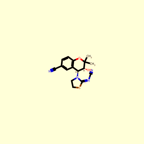 CC1(C)Oc2ccc(C#N)cc2[C@H](N2CCS/C2=N/C#N)[C@H]1O